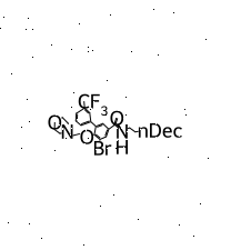 CCCCCCCCCCCCNC(=O)c1cc(Br)c(OCCN2CCOCC2)c(-c2cccc(C(F)(F)F)c2)c1